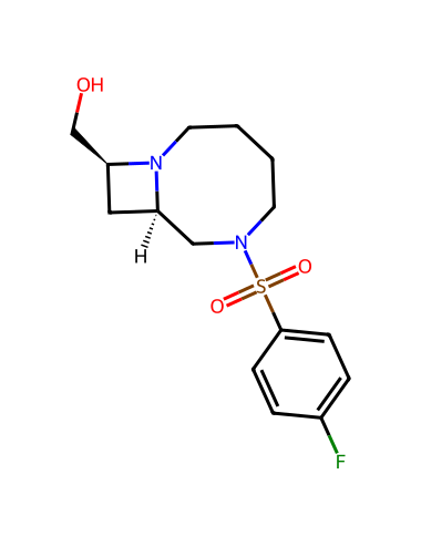 O=S(=O)(c1ccc(F)cc1)N1CCCCN2[C@H](CO)C[C@@H]2C1